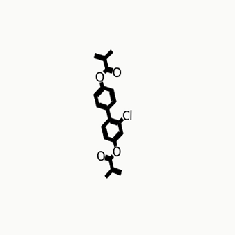 C=C(C)C(=O)Oc1ccc(-c2ccc(OC(=O)C(=C)C)cc2Cl)cc1